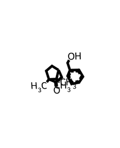 CC12CCC(CC1=O)C2(C)C.OCc1ccccc1